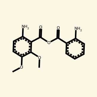 COc1ccc(N)c(C(=O)OC(=O)c2ccccc2N)c1OC